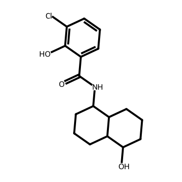 O=C(NC1CCCC2C(O)CCCC12)c1cccc(Cl)c1O